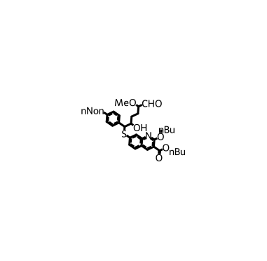 CCCCCCCCCc1ccc(C(Sc2ccc3cc(C(=O)OCCCC)c(OCCCC)nc3c2)C(O)CCC(C=O)OC)cc1